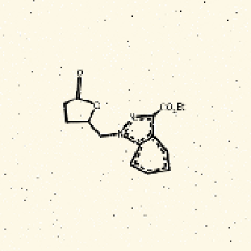 CCOC(=O)c1nn(CC2CCC(=O)O2)c2ccccc12